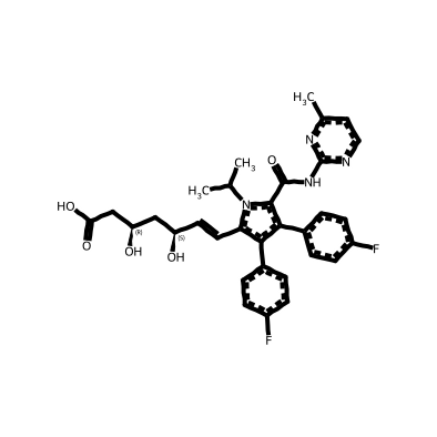 Cc1ccnc(NC(=O)c2c(-c3ccc(F)cc3)c(-c3ccc(F)cc3)c(C=C[C@@H](O)C[C@@H](O)CC(=O)O)n2C(C)C)n1